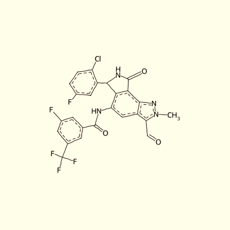 Cn1nc2c3c(c(NC(=O)c4cc(F)cc(C(F)(F)F)c4)cc2c1C=O)C(c1cc(F)ccc1Cl)NC3=O